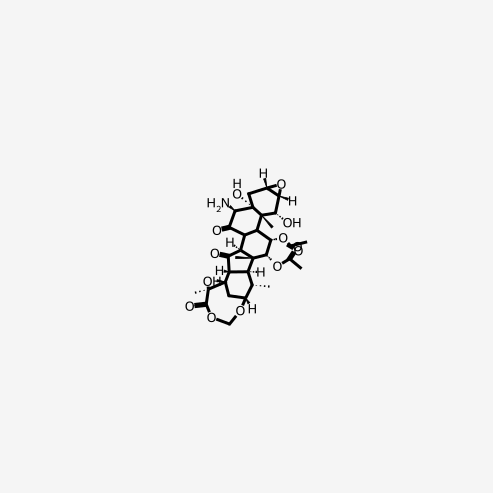 CC(=O)O[C@H]1C2C(C(=O)[C@@H](N)[C@@]3(O)C[C@@H]4O[C@@H]4[C@H](O)[C@]23C)[C@@H]2C(=O)[C@@H]3[C@H]([C@H](C)[C@H]4C[C@]3(C)[C@](C)(O)C(=O)OCO4)[C@@]2(C)[C@H]1OC(C)=O